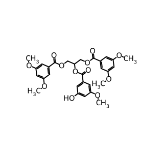 COc1cc(OC)cc(C(=O)OCC(COC(=O)c2cc(OC)cc(OC)c2)OC(=O)c2cc(O)cc(OC)c2)c1